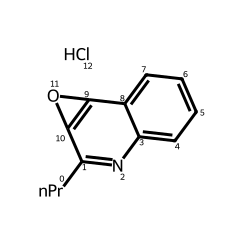 CCCc1nc2ccccc2c2c1O2.Cl